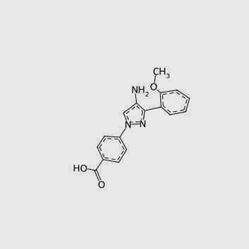 COc1ccccc1-c1nn(-c2ccc(C(=O)O)cc2)cc1N